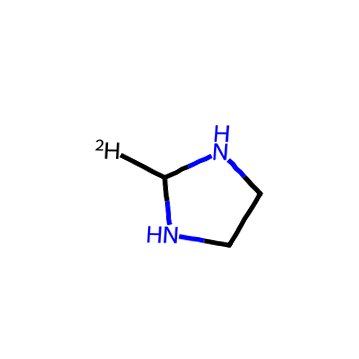 [2H]C1NCCN1